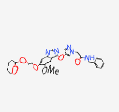 COc1cc2c(Oc3cnn(CC(=O)NCc4ccccc4)c3)ncnc2cc1OCCOC1CCCCO1